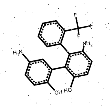 Nc1ccc(O)c(-c2c(O)ccc(N)c2-c2ccccc2C(F)(F)F)c1